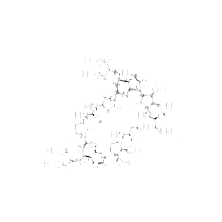 CCC(=O)N[C@H]1C[C@@H](n2cnc3c(NC(CC)CC)nc(N4CC[C@@H](NC(=O)N[C@@H]5CCN(c6nc(NC(CC)CC)c7ncn([C@@H]8C[C@H](NC(=O)CC)[C@@H](O)[C@H]8O)c7n6)C5)C4)nc32)[C@H](O)[C@@H]1O